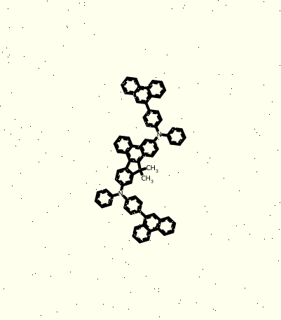 CC1(C)c2cc(N(c3ccccc3)c3ccc(-c4cc5ccccc5c5ccccc45)cc3)ccc2-c2c1c1ccc(N(c3ccccc3)c3ccc(-c4cc5ccccc5c5ccccc45)cc3)cc1c1ccccc21